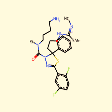 CCN(CCCCN)C(=O)N1N=C(c2cc(F)ccc2F)SC1(CCCN/C(=N\C#N)NC)c1ccccc1